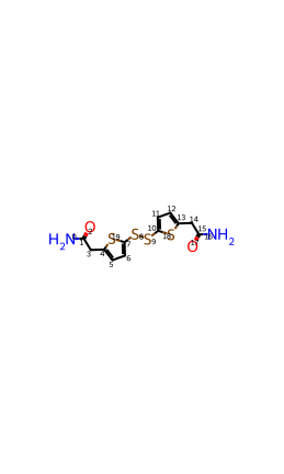 NC(=O)Cc1ccc(SSc2ccc(CC(N)=O)s2)s1